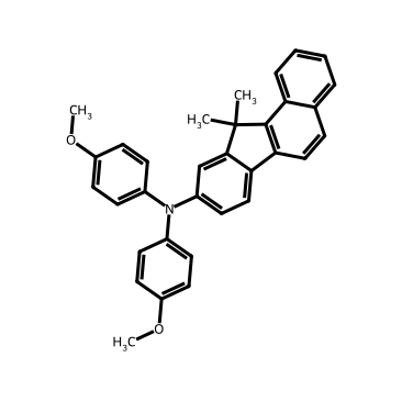 COc1ccc(N(c2ccc(OC)cc2)c2ccc3c(c2)C(C)(C)c2c-3ccc3ccccc23)cc1